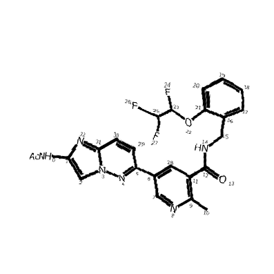 CC(=O)Nc1cn2nc(-c3cnc(C)c(C(=O)NCc4ccccc4OC(F)C(F)F)c3)ccc2n1